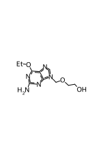 CCOc1nc(N)nc2c1ncn2COCCO